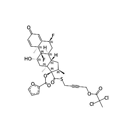 C[C@@H]1C[C@H]2[C@@H]3C[C@H](F)C4=CC(=O)C=C[C@]4(C)[C@@]3(F)[C@@H](O)C[C@]2(C)[C@@]1(OC(=O)c1ccco1)C(=O)SCC#CCOC(=O)C(C)(Cl)Cl